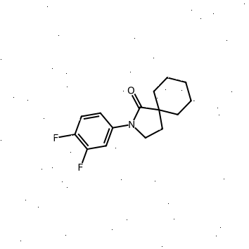 O=C1N(c2ccc(F)c(F)c2)CCC12C[CH]CCC2